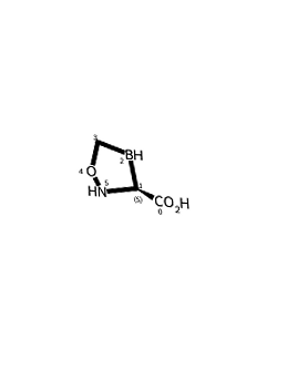 O=C(O)[C@@H]1BCON1